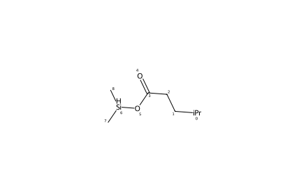 CC(C)CCC(=O)O[SiH](C)C